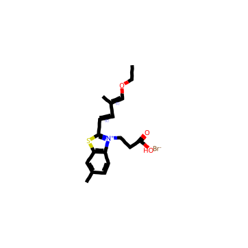 CCO/C=C(C)/C=C/c1sc2cc(C)ccc2[n+]1CCC(=O)O.[Br-]